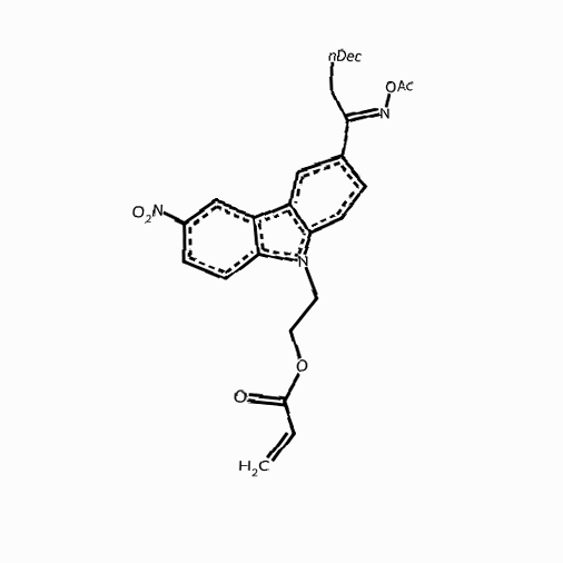 C=CC(=O)OCCn1c2ccc(/C(CCCCCCCCCCC)=N/OC(C)=O)cc2c2cc([N+](=O)[O-])ccc21